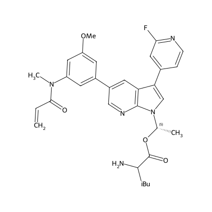 C=CC(=O)N(C)c1cc(OC)cc(-c2cnc3c(c2)c(-c2ccnc(F)c2)cn3[C@H](C)OC(=O)C(N)C(C)CC)c1